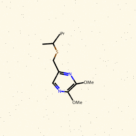 COc1ncc(CSC(C)C(C)C)nc1OC